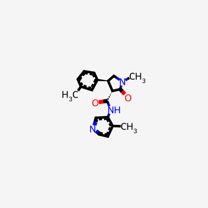 Cc1cccc([C@H]2CN(C)C(=O)[C@@H]2C(=O)Nc2cnccc2C)c1